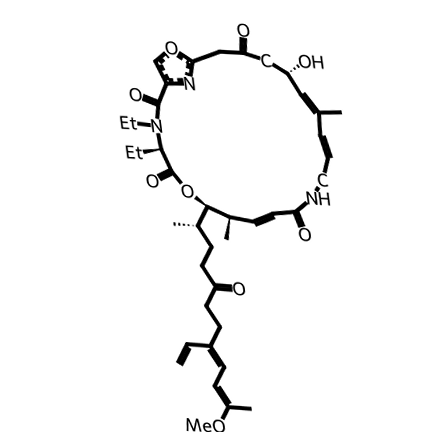 C=C/C(=C\C=C(/C)OC)CCC(=O)CC[C@H](C)[C@H]1OC(=O)[C@@H](CC)N(CC)C(=O)c2coc(n2)CC(=O)C[C@H](O)/C=C(C)/C=C/CNC(=O)/C=C/[C@H]1C